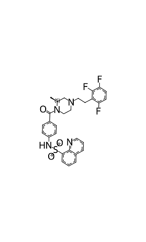 C[C@H]1CN(CCc2c(F)ccc(F)c2F)CCN1C(=O)c1ccc(NS(=O)(=O)c2cccc3cccnc23)cc1